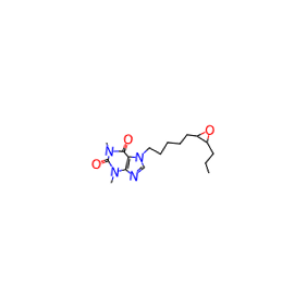 CCCC1OC1CCCCCn1cnc2c1c(=O)n(C)c(=O)n2C